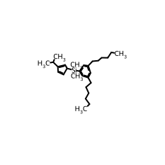 CCCCCCc1cc(CCCCCC)cc([Si](C)(C)[C]2C=CC(C(C)C)=C2)c1